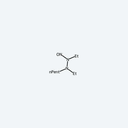 CCCCCN(CC)N(CC)N=O